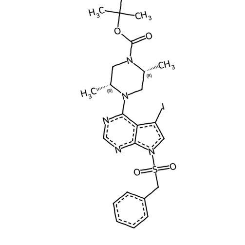 C[C@@H]1CN(c2ncnc3c2c(I)cn3S(=O)(=O)Cc2ccccc2)[C@H](C)CN1C(=O)OC(C)(C)C